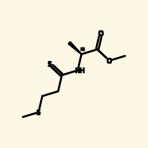 COC(=O)[C@H](C)NC(=S)CCSC